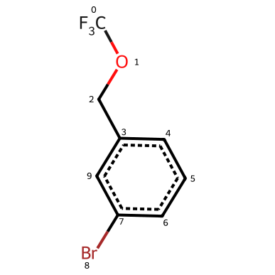 FC(F)(F)OCc1cccc(Br)c1